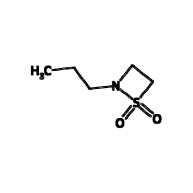 CCCN1CCS1(=O)=O